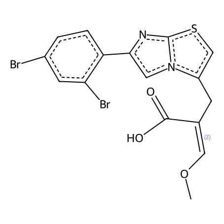 CO/C=C(/Cc1csc2nc(-c3ccc(Br)cc3Br)cn12)C(=O)O